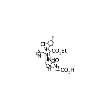 CCOC(=O)C1=C(CN2CCO[C@H]3CN(CC(C)(C)C(=O)O)C(=O)[C@H]32)NC(c2nccs2)=N[C@H]1c1ccc(F)cc1Cl